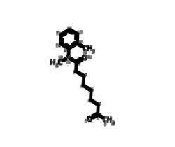 CC(=O)CCCCCCC(=O)N(C)c1ccccc1C